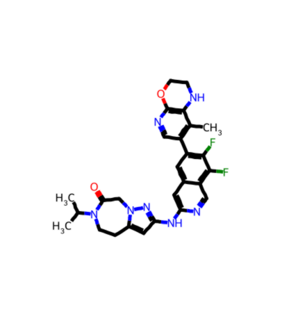 Cc1c(-c2cc3cc(Nc4cc5n(n4)CC(=O)N(C(C)C)CC5)ncc3c(F)c2F)cnc2c1NCCO2